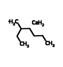 [CH2]C(CC)CCCC.[CaH2]